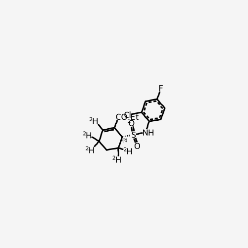 [2H]C1=C(C(=O)OCC)[C@H](S(=O)(=O)Nc2ccc(F)cc2Cl)C([2H])([2H])CC1([2H])[2H]